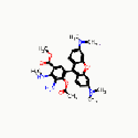 CNc1c(C(=O)OC)cc(-c2c3ccc(N(C)C)cc3[o+]c3cc(N(C)C)ccc23)c(OC(C)=O)c1N.[I-]